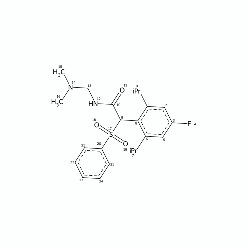 CC(C)c1cc(F)cc(C(C)C)c1C(C(=O)NCN(C)C)S(=O)(=O)c1ccccc1